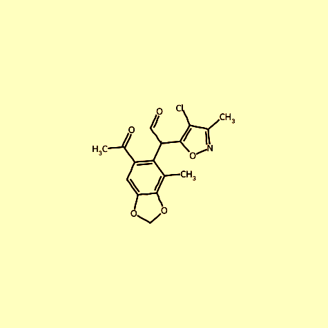 CC(=O)c1cc2c(c(C)c1[C](C=O)c1onc(C)c1Cl)OCO2